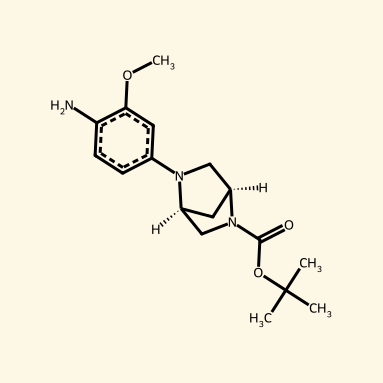 COc1cc(N2C[C@@H]3C[C@H]2CN3C(=O)OC(C)(C)C)ccc1N